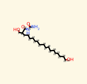 NC(=O)NC(=O)C(CO)CCCCCCCCCCCCCCCCCO